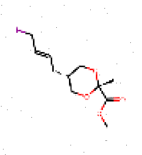 COC(=O)[C@]1(C)OC[C@H](C/C=C/CI)CO1